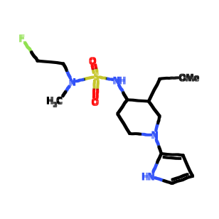 COCC1CN(c2ccc[nH]2)CCC1NS(=O)(=O)N(C)CCF